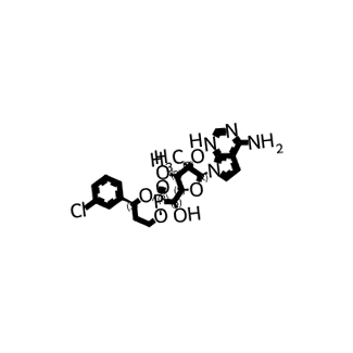 C[C@@]1(O)[C@H](O)[C@@H]([C@@H](O)[P@@]2(=O)OCC[C@@H](c3cccc(Cl)c3)O2)O[C@H]1n1ccc2c(N)ncnc21